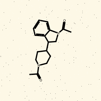 CC(=O)N1CCC(C2CN(C(C)=O)c3ccccc32)CC1